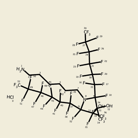 Cl.NCCCCCCN(C(F)(C(O)(F)C(F)(F)F)C(F)(F)C(F)(F)C(F)(F)C(F)(F)C(F)(F)C(F)(F)F)C(F)(C(O)(F)C(F)(F)F)C(F)(F)C(F)(F)C(F)(F)C(F)(F)C(F)(F)C(F)(F)F